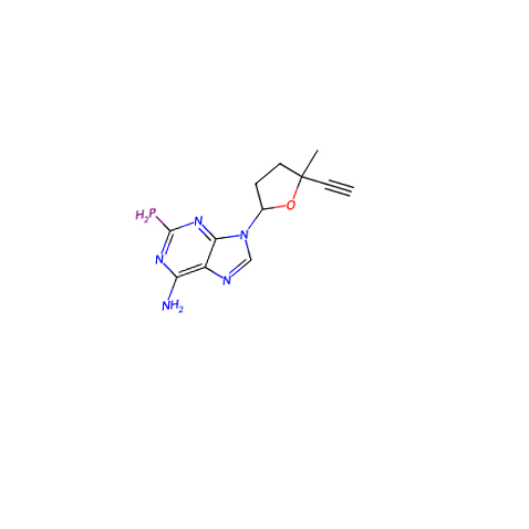 C#CC1(C)CCC(n2cnc3c(N)nc(P)nc32)O1